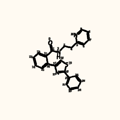 O=C(NCCc1ccccn1)c1ccccc1-c1csc(-c2ccccc2)n1